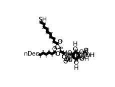 CCCCCCCCCCCCCCCC(=O)O[C@H](COC(=O)CCCCCCCCCS)COP(=O)(O)OC1C(O)[C@H](O)C(OP(=O)(O)O)[C@H](O)[C@@H]1O